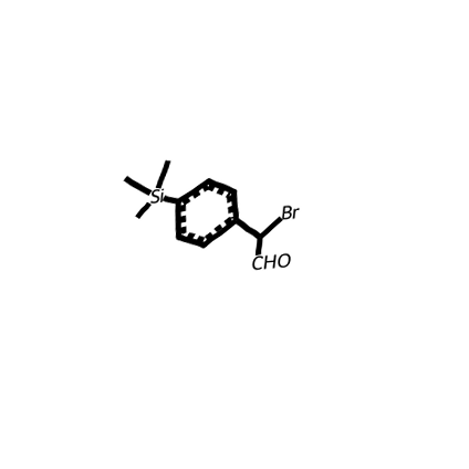 C[Si](C)(C)c1ccc(C(Br)C=O)cc1